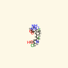 CN1C(N)=N[C@](C)(c2cc(/C=C(\F)c3cc(O)c(Cl)cn3)ccc2F)CS1(=O)=O